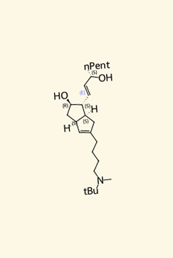 CCCCC[C@H](O)/C=C/[C@@H]1[C@H]2CC(CCCCN(C)C(C)(C)C)=C[C@H]2C[C@H]1O